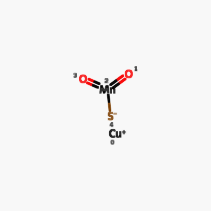 [Cu+].[O]=[Mn](=[O])[S-]